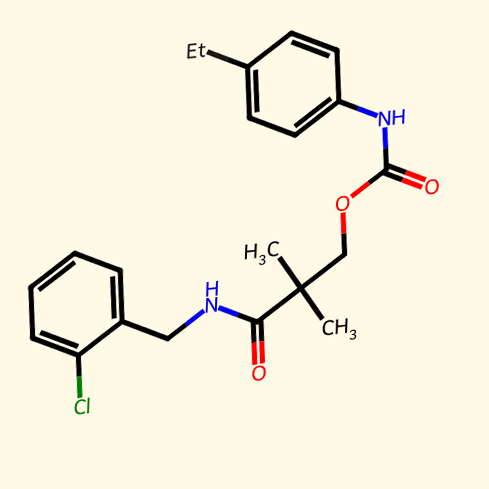 CCc1ccc(NC(=O)OCC(C)(C)C(=O)NCc2ccccc2Cl)cc1